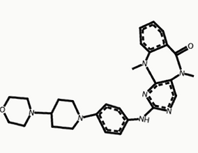 CN1C(=O)c2ccccc2N(C)c2nc(Nc3ccc(N4CCC(N5CCOCC5)CC4)cc3)ncc21